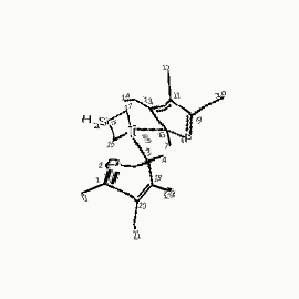 CC1=P[C](C)([Ti]2([C]3(C)P=C(C)C(C)=C3C)[CH2][SiH2][CH2]2)C(C)=C1C